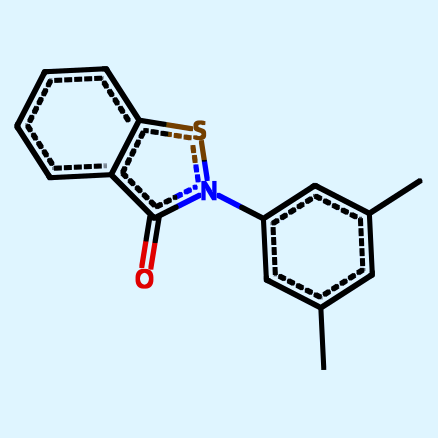 Cc1cc(C)cc(-n2sc3ccccc3c2=O)c1